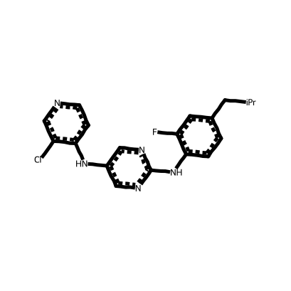 CC(C)Cc1ccc(Nc2ncc(Nc3ccncc3Cl)cn2)c(F)c1